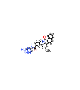 CC(C)(C)C1CCC(N(Cc2ccc(C(=O)N/C(N=N)=N/N)cc2)C(=O)c2cccc3ccccc23)CC1